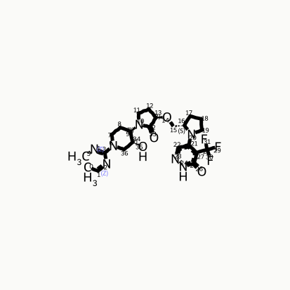 C/C=N\C(=N/C)N1CC[C@@H](N2CC[C@@H](OC[C@@H]3CCCN3c3cn[nH]c(=O)c3C(F)(F)F)C2=O)[C@H](O)C1